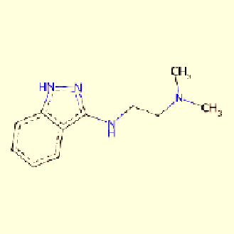 CN(C)CCNc1n[nH]c2ccccc12